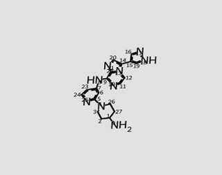 NC1CCN(c2cc(Nc3nccn4c(-c5cn[nH]c5)cnc34)ccn2)CC1